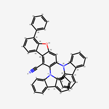 N#Cc1c(-n2c3ccccc3c3ccccc32)c(-n2c3ccccc3c3ccccc32)cc2oc3c(-c4ccccc4)cccc3c12